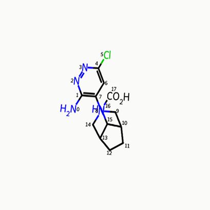 Nc1nnc(Cl)cc1N1CC2CCC(C1)C2NC(=O)O